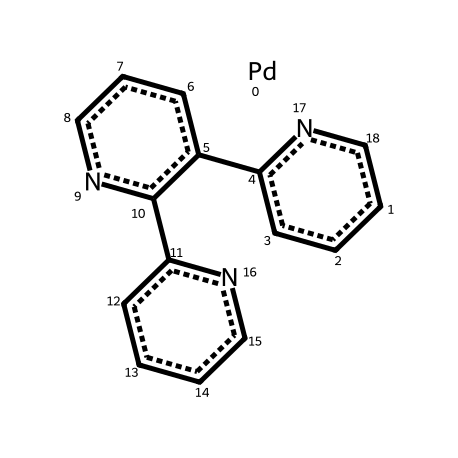 [Pd].c1ccc(-c2cccnc2-c2ccccn2)nc1